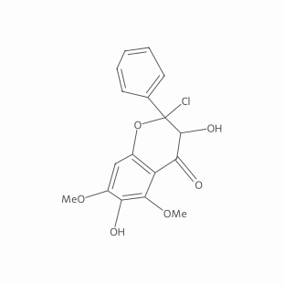 COc1cc2c(c(OC)c1O)C(=O)C(O)C(Cl)(c1ccccc1)O2